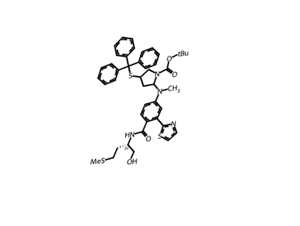 CSCC[C@@H](CO)NC(=O)c1ccc(N(C)C2CC(SC(c3ccccc3)(c3ccccc3)c3ccccc3)CN2C(=O)OC(C)(C)C)cc1-c1nccs1